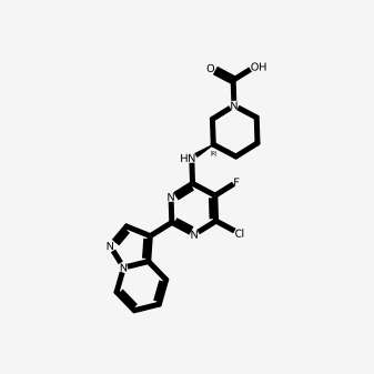 O=C(O)N1CCC[C@@H](Nc2nc(-c3cnn4ccccc34)nc(Cl)c2F)C1